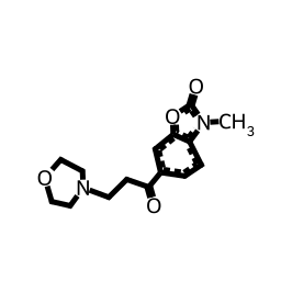 Cn1c(=O)oc2cc(C(=O)CCN3CCOCC3)ccc21